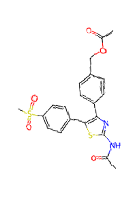 CC(=O)Nc1nc(-c2ccc(COC(C)=O)cc2)c(-c2ccc(S(C)(=O)=O)cc2)s1